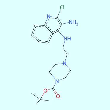 CC(C)(C)OC(=O)N1CCN(CCNc2c(N)c(Cl)nc3ccccc23)CC1